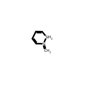 C=[Si]1C=CC=C[SiH2]1